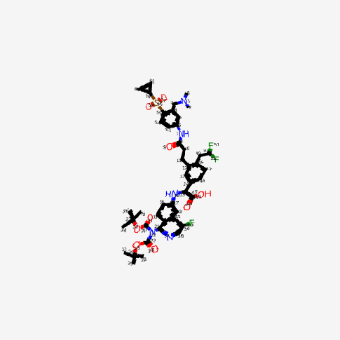 CN(C)Cc1cc(NC(=O)CCc2cc(C(Nc3ccc4c(N(C(=O)OC(C)(C)C)C(=O)OC(C)(C)C)ncc(F)c4c3)C(=O)O)ccc2CC(F)F)ccc1S(=O)(=O)C1CC1